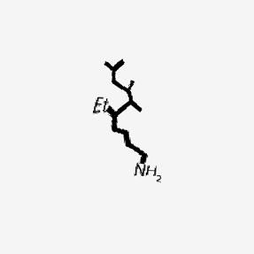 C=C(C)C[C@@H](C)C(C)C(CC)CCCCN